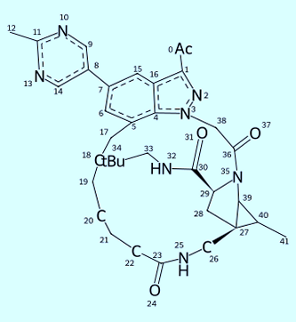 CC(=O)c1nn2c3c(cc(-c4cnc(C)nc4)cc13)CCCCCCC(=O)NC[C@@]13C[C@@H](C(=O)NCC(C)(C)C)N(C(=O)C2)C1C3C